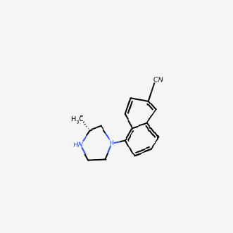 C[C@@H]1CN(c2cccc3cc(C#N)ccc23)CCN1